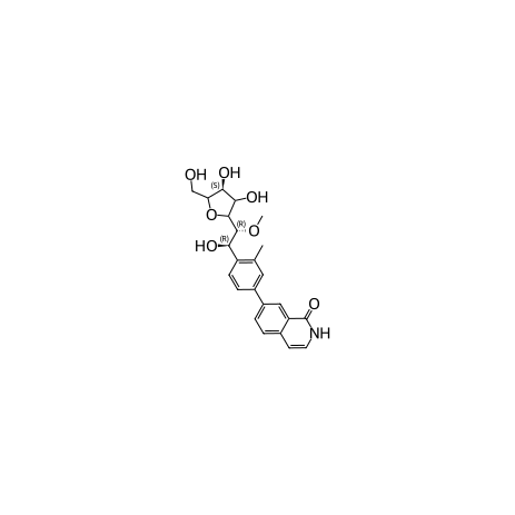 CO[C@@H](C1OC(CO)[C@@H](O)C1O)[C@H](O)c1ccc(-c2ccc3cc[nH]c(=O)c3c2)cc1C